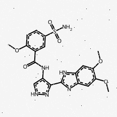 COc1cc2nc(-c3n[nH]cc3NC(=O)c3cc(S(N)(=O)=O)ccc3OC)[nH]c2cc1OC